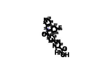 O=C(NO)c1cnc(N2CCN(C(=O)/C(=C/c3cccnc3)c3ccc(F)cc3)CC2)nc1